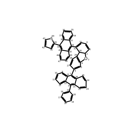 C1=CC2Oc3cc(-c4c5ccccc5c(-c5ccccc5)c5ccccc45)ccc3C2C(c2c3ccccc3c(-c3cccs3)c3ccccc23)=C1